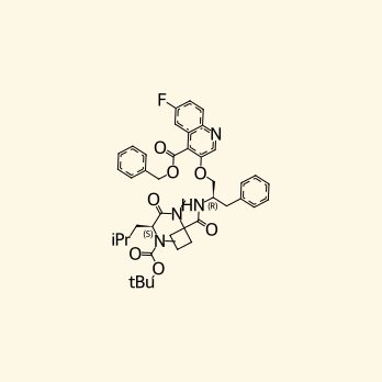 CC(C)C[C@@H](C(=O)N(C)C1(C(=O)N[C@@H](COc2cnc3ccc(F)cc3c2C(=O)OCc2ccccc2)Cc2ccccc2)CCC1)N(C)C(=O)OC(C)(C)C